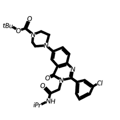 CC(C)NC(=O)Cn1c(-c2cccc(Cl)c2)nc2ccc(N3CCN(C(=O)OC(C)(C)C)CC3)cc2c1=O